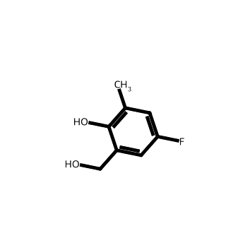 Cc1cc(F)cc(CO)c1O